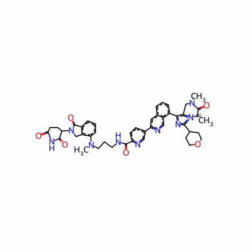 C[C@@H]1C(=O)N(C)Cc2c(-c3cccc4cc(-c5ccc(C(=O)NCCCN(C)c6cccc7c6CN(C6CCC(=O)NC6=O)C7=O)nc5)ncc34)nc(C3CCOCC3)n21